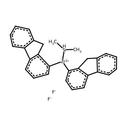 C[SiH](C)[Zr+2]([c]1cccc2c1Cc1ccccc1-2)[c]1cccc2c1Cc1ccccc1-2.[F-].[F-]